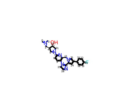 CN(C)C[C@@H]1CN(c2ccc3c(n2)Cn2cc(-c4ccc(F)cc4)cc2-c2nccn2-3)C[C@H]1O